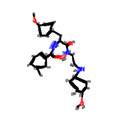 COc1ccc(CC(NC(=O)c2cccc(C)c2)C(=O)NCCNc2ccc(OC)cc2)cc1